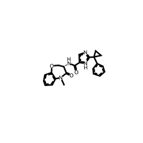 CN1C(=O)[C@@H](NC(=O)c2cnc(C3(c4ccccc4)CC3)[nH]2)COc2ccccc21